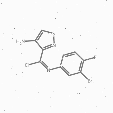 Nc1csnc1/C(Cl)=N\c1ccc(F)c(Br)c1